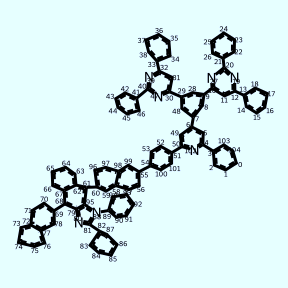 c1ccc(-c2cc(-c3cc(-c4cc(-c5ccccc5)nc(-c5ccccc5)n4)cc(-c4cc(-c5ccccc5)nc(-c5ccccc5)n4)c3)cc(-c3ccc(-c4ccc5cc(-c6c7ccccc7c(-c7ccc8ccccc8c7)c7nc(-c8ccccc8)n(-c8ccccc8)c67)ccc5c4)cc3)n2)cc1